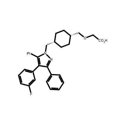 CC(C)c1c(-c2cccc(F)c2)c(-c2ccccc2)nn1C[C@H]1CC[C@@H](COCC(=O)O)CC1